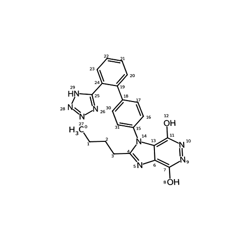 CCCCc1nc2c(O)nnc(O)c2n1-c1ccc(-c2ccccc2-c2nnn[nH]2)cc1